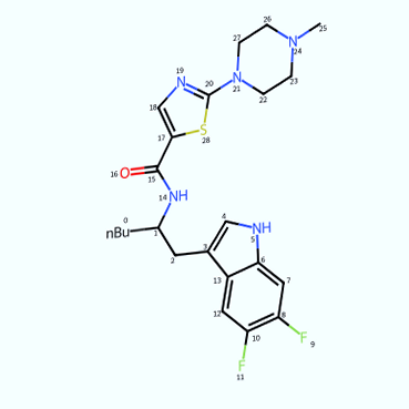 CCCCC(Cc1c[nH]c2cc(F)c(F)cc12)NC(=O)c1cnc(N2CCN(C)CC2)s1